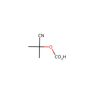 CC(C)(C#N)OC(=O)O